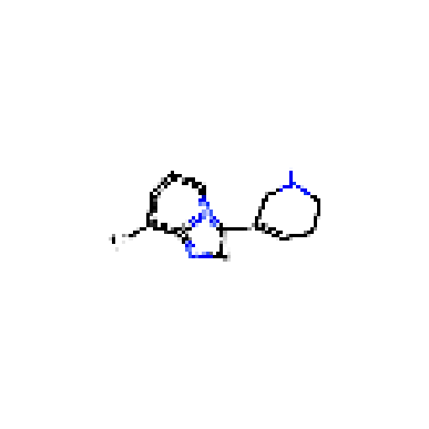 Cc1cccn2c(C3=CCCNC3)cnc12